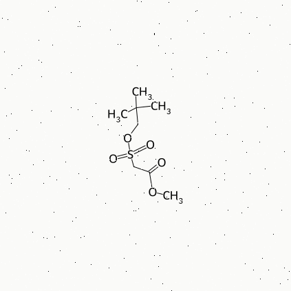 COC(=O)CS(=O)(=O)OCC(C)(C)C